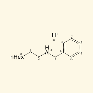 CCCCCCC[CH2][AlH][CH2]c1ccccc1.[H+]